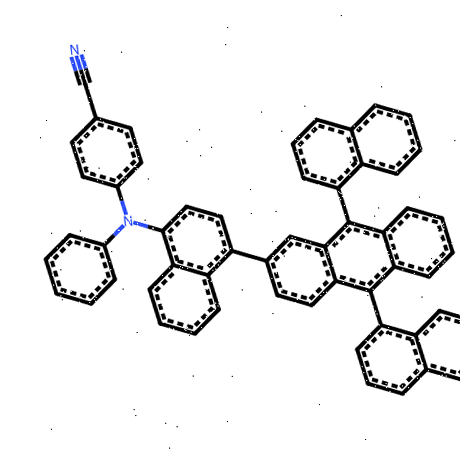 N#Cc1ccc(N(c2ccccc2)c2ccc(-c3ccc4c(-c5cccc6ccccc56)c5ccccc5c(-c5cccc6ccccc56)c4c3)c3ccccc23)cc1